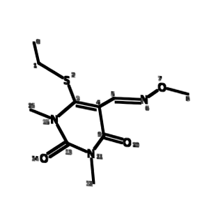 CCSc1c(/C=N/OC)c(=O)n(C)c(=O)n1C